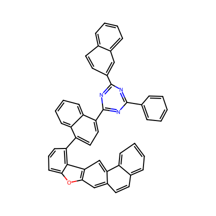 c1ccc(-c2nc(-c3ccc4ccccc4c3)nc(-c3ccc(-c4cccc5oc6cc7ccc8ccccc8c7cc6c45)c4ccccc34)n2)cc1